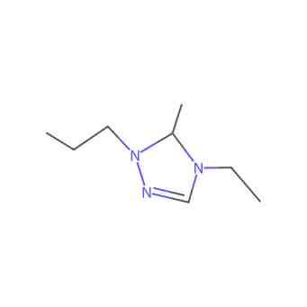 CCCN1N=CN(CC)C1C